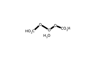 O.O=C(O)OOOC(=O)O